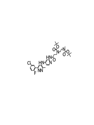 Cc1nnc(-c2cc(Cl)ccc2F)cc1Nc1ccnc(NC(=O)CCN(CCN(C)C(=O)OC(C)(C)C)C(=O)OC(C)(C)C)c1